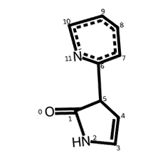 O=C1NC=CC1c1ccccn1